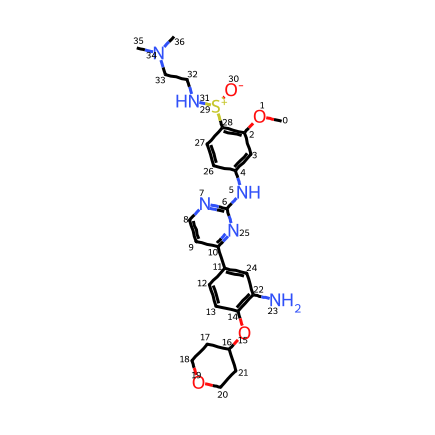 COc1cc(Nc2nccc(-c3ccc(OC4CCOCC4)c(N)c3)n2)ccc1[S+]([O-])NCCN(C)C